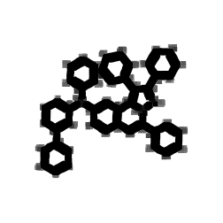 c1ccc(-c2cccc(N(c3ccccc3)c3ccc4cc(-c5ccccc5)n5nc(-c6ccccc6)c(-c6ccccc6)c5c4c3)c2)cc1